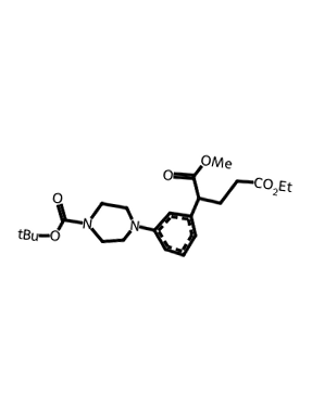 CCOC(=O)CCC(C(=O)OC)c1cccc(N2CCN(C(=O)OC(C)(C)C)CC2)c1